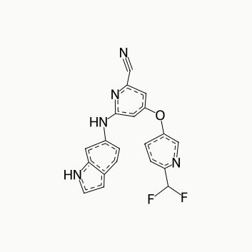 N#Cc1cc(Oc2ccc(C(F)F)nc2)cc(Nc2ccc3cc[nH]c3c2)n1